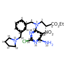 CCOC(=O)CCN(Cc1cccc(CN2CCCC2)c1)c1nc(Cl)nc(N)c1[N+](=O)[O-]